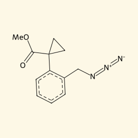 COC(=O)C1(c2ccccc2CN=[N+]=[N-])CC1